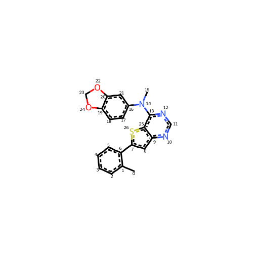 Cc1ccccc1-c1cc2ncnc(N(C)c3ccc4c(c3)OCO4)c2s1